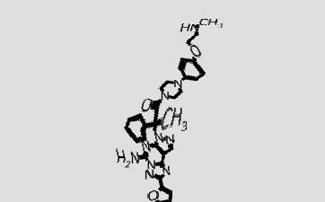 CNCCOc1ccc(N2CCN(C(=O)C(C)(c3ccccc3)n3ncc4c3nc(N)n3nc(-c5ccco5)nc43)CC2)cc1